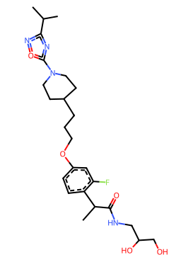 CC(C)c1noc(N2CCC(CCCOc3ccc(C(C)C(=O)NCC(O)CO)c(F)c3)CC2)n1